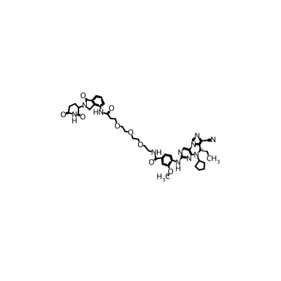 CC[C@@H]1c2c(C#N)ncn2-c2cnc(Nc3ccc(C(=O)NCCOCCOCCOCCC(=O)Nc4cccc5c4CN(C4CCC(=O)NC4=O)C5=O)cc3OC)nc2N1C1CCCC1